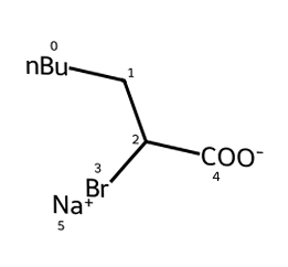 CCCCCC(Br)C(=O)[O-].[Na+]